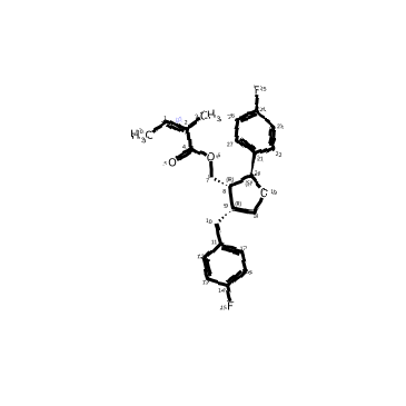 C/C=C(/C)C(=O)OC[C@H]1[C@@H](Cc2ccc(F)cc2)CO[C@@H]1c1ccc(F)cc1